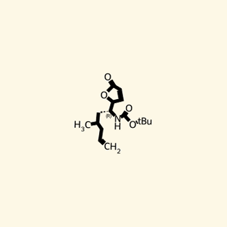 C=CCC(C)C[C@@H](NC(=O)OC(C)(C)C)C1C=CC(=O)O1